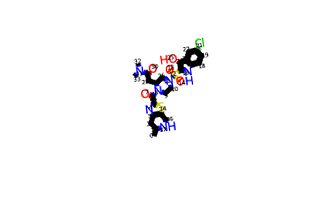 CC1Cc2nc(C(=O)N3CCN(S(=O)(=O)c4[nH]c5ccc(Cl)cc5c4O)CC3CC(=O)N(C)C)sc2CN1